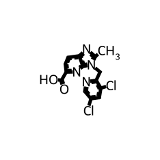 Cc1nc2ccc(C(=O)O)nc2n1Cc1ncc(Cl)cc1Cl